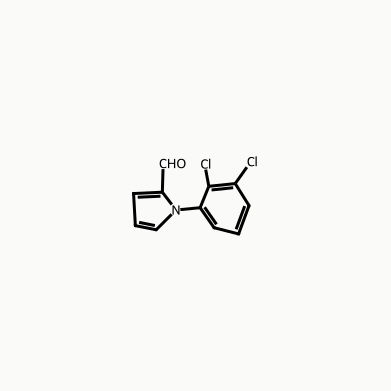 O=Cc1cccn1-c1cccc(Cl)c1Cl